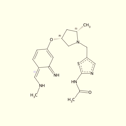 CN/C=C1/C=CC(O[C@@H]2C[C@H](C)N(Cc3cnc(NC(C)=O)s3)C2)=CC1=N